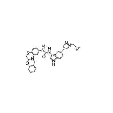 O=C(Nc1ccc2c(c1)N(Cc1ccccc1)C(=O)CS2)Nc1c[nH]c2ccc(-c3cnn(CC4CC4)c3)cc12